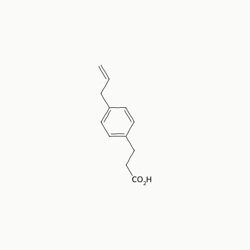 C=CCc1ccc(CCC(=O)O)cc1